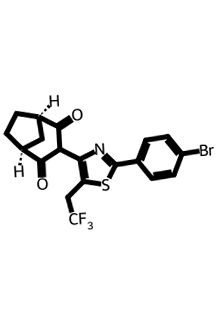 O=C1C(c2nc(-c3ccc(Br)cc3)sc2CC(F)(F)F)C(=O)[C@H]2CC[C@@H]1C2